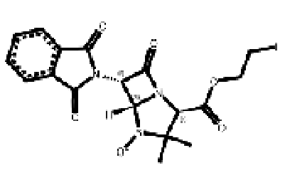 CC1(C)[C@H](C(=O)OCCI)N2C(=O)[C@@H](N3C(=O)c4ccccc4C3=O)[C@H]2[S+]1[O-]